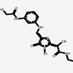 CCn1c(=C(C#N)C(=O)NCC#N)sc(=CNc2cccc(NC(=O)CO)c2)c1=O